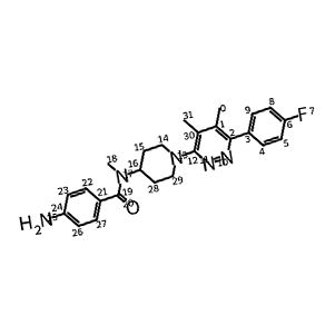 Cc1c(-c2ccc(F)cc2)nnc(N2CCC(N(C)C(=O)c3ccc(N)cc3)CC2)c1C